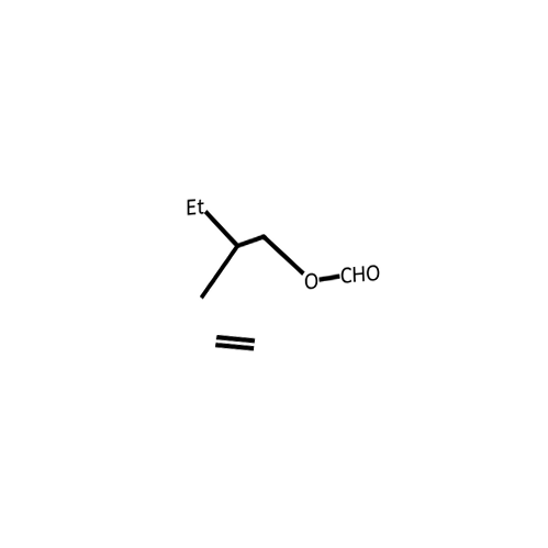 C=C.CCC(C)COC=O